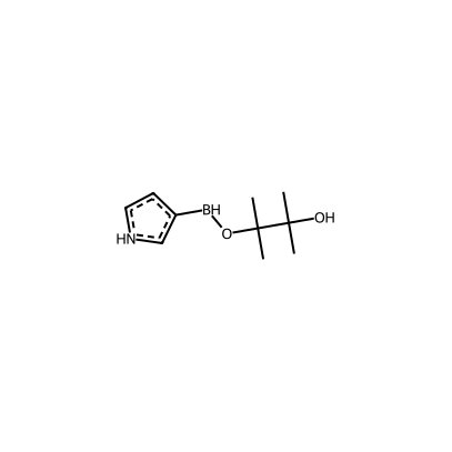 CC(C)(O)C(C)(C)OBc1cc[nH]c1